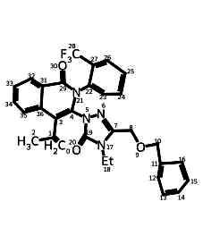 C=C(C)c1c(-n2nc(COCc3ccccc3)n(CC)c2=O)n(-c2ccccc2C(F)(F)F)c(=O)c2ccccc12